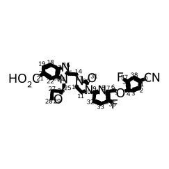 N#Cc1ccc(OCc2nc(N3CCN(Cc4nc5ccc(C(=O)O)cc5n4C[C@@H]4CCO4)C3=O)ccc2F)c(F)c1